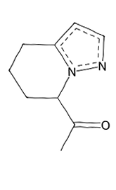 CC(=O)C1CCCc2ccnn21